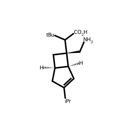 CC(C)C1=C[C@H]2[C@@H](C1)C[C@]2(CN)C(C(=O)O)C(C)(C)C